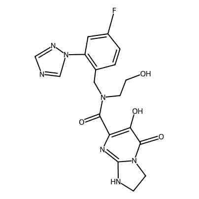 O=C(c1nc2n(c(=O)c1O)CCN2)N(CCO)Cc1ccc(F)cc1-n1cncn1